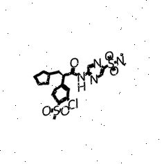 CN(C)S(=O)(=O)c1cnc(NC(=O)[C@H](CC2CCCC2)c2ccc(S(C)(=O)=O)c(Cl)c2)cn1